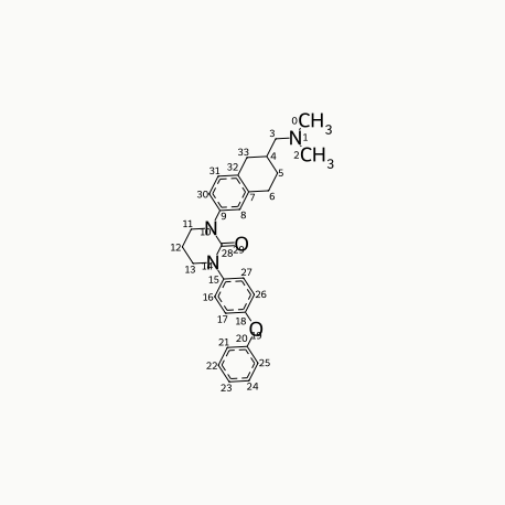 CN(C)CC1CCc2cc(N3CCCN(c4ccc(Oc5ccccc5)cc4)C3=O)ccc2C1